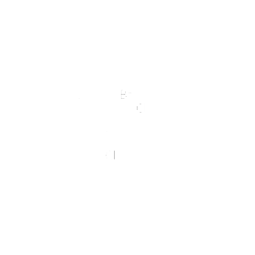 [CH2]C(Br)C(Cl)(CCC)C(Cl)CCCC